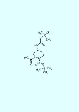 CC(C)(C)OC(=O)N[C@@H]1CCN(C(=O)OC(C)(C)C)[C@@H](C(=O)O)C1